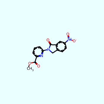 COC(=O)c1cccc(N2Cc3ccc([N+](=O)[O-])cc3C2=O)n1